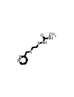 CNC(=O)NSCCSCc1cccnn1